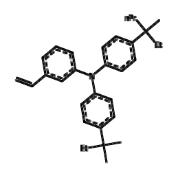 C=Cc1cccc(N(c2ccc(C(C)(C)CC)cc2)c2ccc(C(C)(CC)CCC)cc2)c1